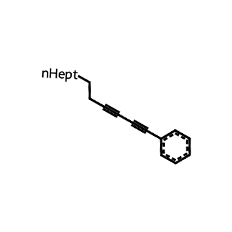 [CH2]CCCCCCCCC#CC#Cc1ccccc1